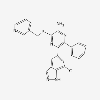 Nc1nc(-c2ccccc2)c(-c2cc(Cl)c3[nH]ncc3c2)nc1SCc1cccnc1